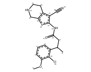 COc1cccc(C(C)CC(=O)Nc2sc3c(c2C#N)CCNC3)c1Cl